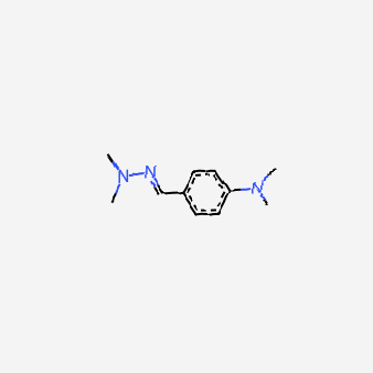 CN(C)N=Cc1ccc(N(C)C)cc1